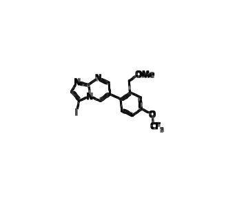 COCc1cc(OC(F)(F)F)ccc1-c1cnc2ncc(I)n2c1